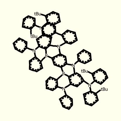 CC(C)(C)c1ccccc1N(c1cc2c3c(c1)N(c1ccccc1)c1cc4c(cc1B3c1ccccc1N2c1ccccc1)B1c2ccccc2N(c2ccccc2)c2cc(N(c3ccccc3C(C)(C)C)c3ccccc3C(C)(C)C)cc(c21)N4c1ccccc1-c1ccccc1)c1ccccc1C(C)(C)C